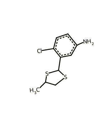 CC1CSC(c2cc(N)ccc2Cl)S1